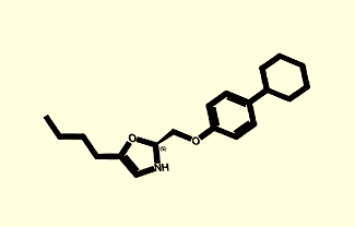 CCCCC1=CN[C@H](COc2ccc(C3CCCCC3)cc2)O1